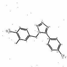 Cc1cc(Cn2nnnc2-c2ccc(C(F)(F)F)cc2)ccc1[N+](=O)[O-]